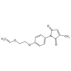 C=COCCOc1ccc(N2C(=O)C=C(C)C2=O)cc1